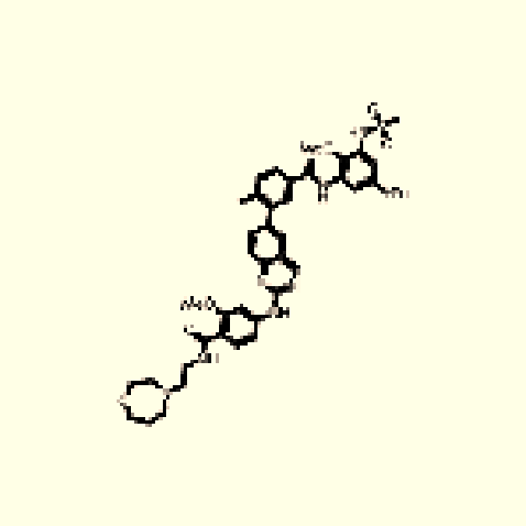 COc1cc(Nc2ncc3cc(-c4cc(C(=O)Nc5cc(C(C)(C)C)cc(NS(C)(=O)=O)c5OC)ccc4C)ccc3n2)ccc1C(=O)NCCN1CCCOCC1